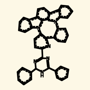 c1ccc(C2=NC(c3ccc4c(n3)c3ccccc3n3c5ccccc5c5ccc6c7ccccc7n4c6c53)=NC(c3ccccc3)N2)cc1